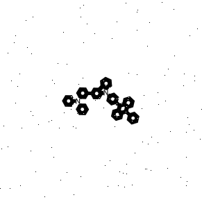 c1ccc(-c2c3ccccc3c(-c3ccc(-n4c5ccccc5c5cc(-c6cccc(N(c7ccccc7)c7ccccc7)c6)ccc54)cc3)c3ccccc23)cc1